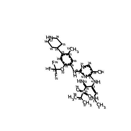 CN/C=C(/Nc1nc(Nc2cc(C)c(C3CCNCC3)cc2OC(F)(F)F)ncc1Cl)C(=N)S(=O)(=O)C(C)C